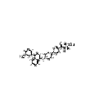 CC(C)(C)S(=O)(=O)NC(=O)c1ccc(N2CCN(Cc3ccc(-c4cncc(O)c4)c4ccccc34)CC2)nn1